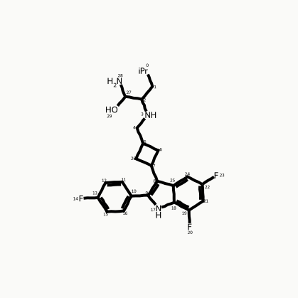 CC(C)CC(NCC1CC(c2c(-c3ccc(F)cc3)[nH]c3c(F)cc(F)cc23)C1)C(N)O